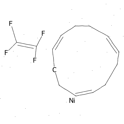 C1=CCCC=CCCC=CCC1.FC(F)=C(F)F.[Ni]